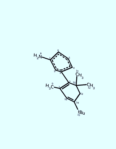 CC1=C(c2cccc(N)c2)C(C)(C)CC(C(C)(C)C)=C1